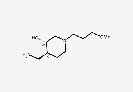 COCCCN1CC[C@@H](CN)[C@H](O)C1